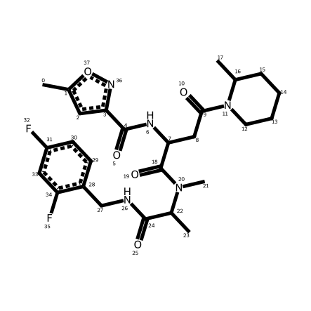 Cc1cc(C(=O)NC(CC(=O)N2CCCCC2C)C(=O)N(C)C(C)C(=O)NCc2ccc(F)cc2F)no1